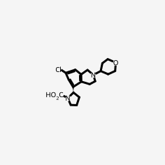 O=C(O)N1CCC[C@H]1c1cc(Cl)cc2c1CCN(C1CCOCC1)C2